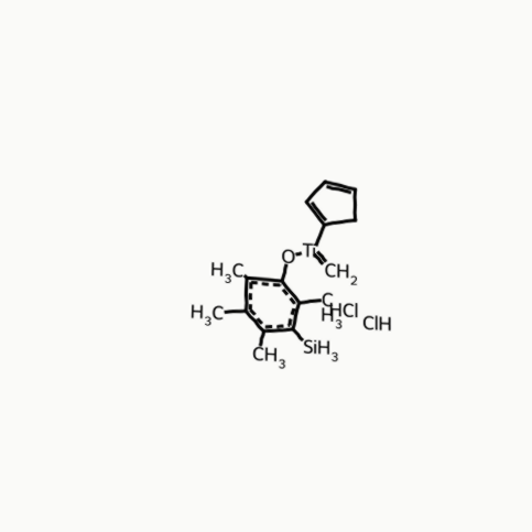 Cl.Cl.[CH2]=[Ti]([O]c1c(C)c(C)c(C)c([SiH3])c1C)[C]1=CC=CC1